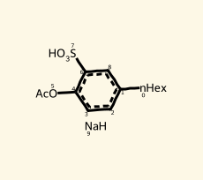 CCCCCCc1ccc(OC(C)=O)c(S(=O)(=O)O)c1.[NaH]